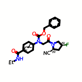 CCNC(=O)C12CCC(N(CC(=O)N3C[C@@H](F)C[C@H]3C#N)C(=O)OCc3ccccc3)(CC1)CC2